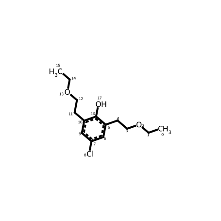 CCOCCc1cc(Cl)cc(CCOCC)c1O